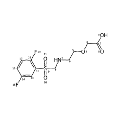 O=C(O)COCCNCS(=O)(=O)c1cc(F)ccc1F